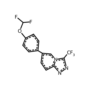 FC(F)Oc1ccc(-c2ccc3nnc(C(F)(F)F)n3c2)cc1